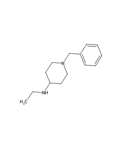 CCNC1CCN(Cc2ccccc2)CC1